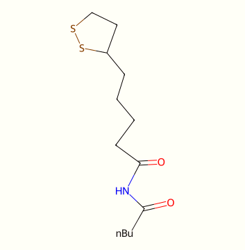 CCCCC(=O)NC(=O)CCCCC1CCSS1